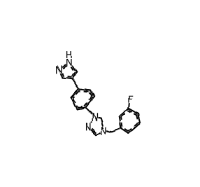 Fc1cccc(CN2C=NN(c3ccc(-c4cn[nH]c4)cc3)C2)c1